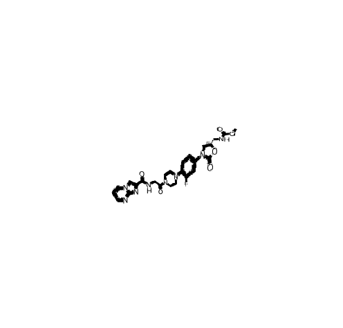 COC(=O)NC[C@H]1CN(c2ccc(N3CCN(C(=O)CNC(=O)c4cn5cccnc5n4)CC3)c(F)c2)C(=O)O1